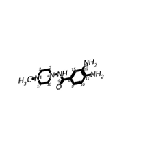 CN1CCN(NC(=O)c2ccc(N)c(N)c2)CC1